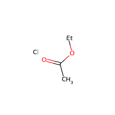 CCOC(C)=O.[C]